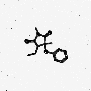 CCC1C(=O)N(C)C(=O)C1(C)Oc1ccccc1